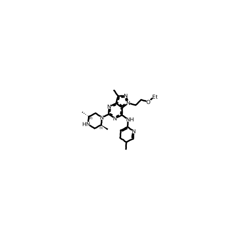 CCOCCn1nc(C)c2nc(N3C[C@@H](C)NC[C@@H]3C)nc(NC3=CCC(C)C=N3)c21